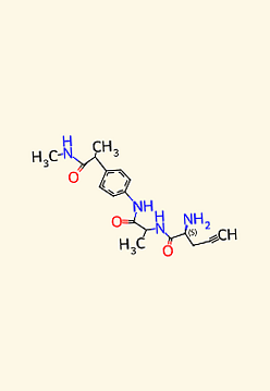 C#CC[C@H](N)C(=O)NC(C)C(=O)Nc1ccc(C(C)C(=O)NC)cc1